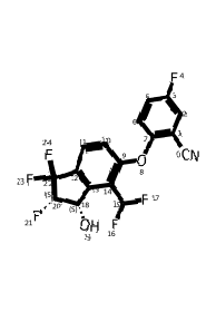 N#Cc1cc(F)ccc1Oc1ccc2c(c1C(F)F)[C@H](O)[C@H](F)C2(F)F